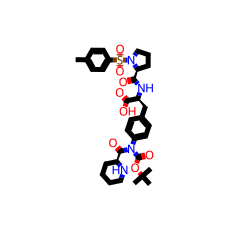 Cc1ccc(S(=O)(=O)N2CCC[C@H]2C(=O)N[C@@H](Cc2ccc(N(C(=O)OC(C)(C)C)C(=O)[C@@H]3CCCCN3)cc2)C(=O)O)cc1